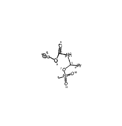 CC(C)C(NC(=O)OC(C)(C)C)OS(C)(=O)=O